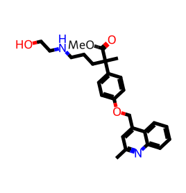 COC(=O)C(C)(CCCNCCO)c1ccc(OCc2cc(C)nc3ccccc23)cc1